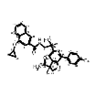 C[C@](O)(CNC(=O)c1cc(OC2CC2)c2ncccc2c1)c1cc2c(c(-c3ccc(F)cc3)n1)OC[C@]2(C)C(N)=O